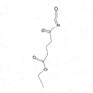 CCOC(=O)CCCC(=O)N=C=O